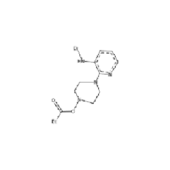 CCNc1cccnc1N1CCN(OC(=O)CC)CC1